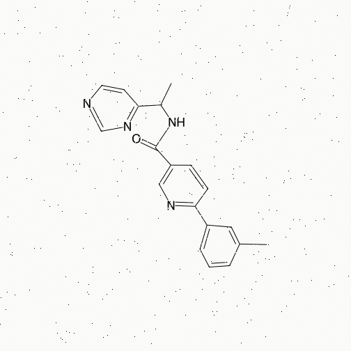 Cc1cccc(-c2ccc(C(=O)NC(C)c3ccncn3)cn2)c1